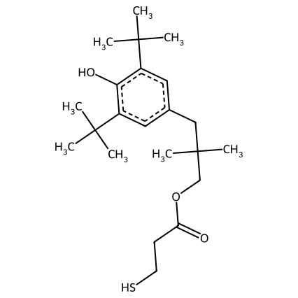 CC(C)(COC(=O)CCS)Cc1cc(C(C)(C)C)c(O)c(C(C)(C)C)c1